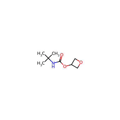 CC(C)(C)NC(=O)OC1COC1